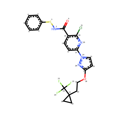 O=C(NSc1ccccc1)c1ccc(-n2ccc(OCCC3(C(F)(F)F)CC3)n2)nc1Cl